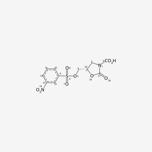 O=C(O)N1C[C@@H](COS(=O)(=O)c2cccc([N+](=O)[O-])c2)OC1=O